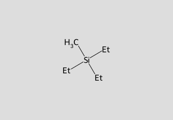 [CH2]C[Si](C)(CC)CC